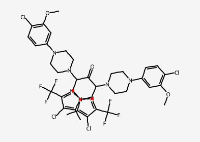 COc1cc(N2CCN(C(Cn3nc(C(F)(F)F)c(Cl)c3C)C(=O)C(Cn3nc(C(F)(F)F)c(Cl)c3C)N3CCN(c4ccc(Cl)c(OC)c4)CC3)CC2)ccc1Cl